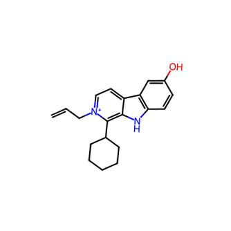 C=CC[n+]1ccc2c([nH]c3ccc(O)cc32)c1C1CCCCC1